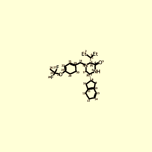 CCC(CC)[C@@H]1C(=O)N[C@H](C2CC3=C(CCC=C3)C2)CN1CC1=CC=C(OC(C)(F)F)CC1